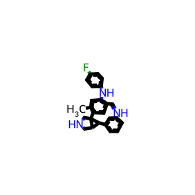 Cc1cc(Nc2ccc(F)cc2)c(C=N)cc1C12CNCC1C2c1ccccc1